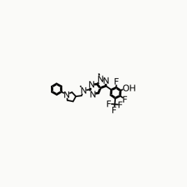 CN(CC1CCN(c2ccccc2)C1)c1ncc2c(-c3cc(C(F)(F)F)c(F)c(O)c3F)nn(C)c2n1